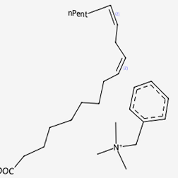 CCCCC/C=C\C/C=C\CCCCCCCC(=O)[O-].C[N+](C)(C)Cc1ccccc1